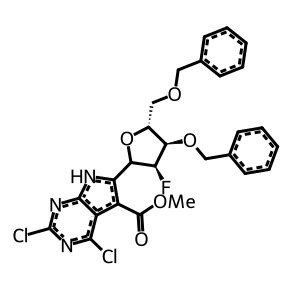 COC(=O)c1c(C2O[C@H](COCc3ccccc3)[C@@H](OCc3ccccc3)[C@H]2F)[nH]c2nc(Cl)nc(Cl)c12